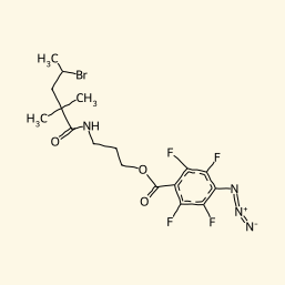 CC(Br)CC(C)(C)C(=O)NCCCOC(=O)c1c(F)c(F)c(N=[N+]=[N-])c(F)c1F